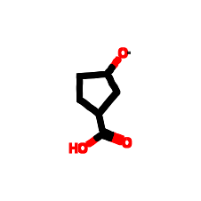 [O]C1CCC(C(=O)O)C1